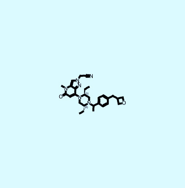 CC[C@H]1CN(C(C)c2ccc(CC3COC3)cc2)[C@H](CC)CN1c1cc(=O)n(C)c2cn(CC#N)nc12